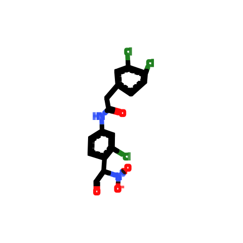 O=CC(c1ccc(NC(=O)Cc2ccc(Cl)c(Cl)c2)cc1Cl)[N+](=O)[O-]